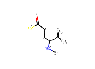 C=C(C)C(CCC(=O)S)NC(C)C